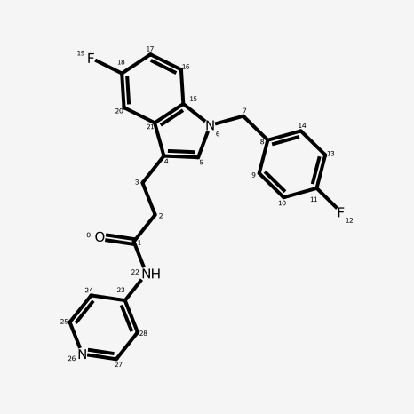 O=C(CCc1cn(Cc2ccc(F)cc2)c2ccc(F)cc12)Nc1ccncc1